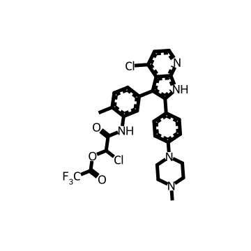 Cc1ccc(-c2c(-c3ccc(N4CCN(C)CC4)cc3)[nH]c3nccc(Cl)c23)cc1NC(=O)C(Cl)OC(=O)C(F)(F)F